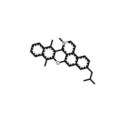 Cc1c2c(c(C)c3ccccc13)-c1c3c(cc4cc(CC(C)C)ccc4c3cc[n+]1C)O2